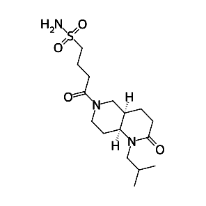 CC(C)CN1C(=O)CC[C@@H]2CN(C(=O)CCCS(N)(=O)=O)CC[C@@H]21